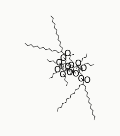 CCCCCCCCCCCCC(CCCCCCCCCCCC)C(=O)OCC1O[C@H](O[C@H]2OC(COC(=O)C(CCCCCCCCCCCC)CCCCCCCCCCCC)[C@@H](OCCCC)[C@H](OCCCC)C2OCCCC)C(OCCCC)[C@@H](OCCCC)[C@@H]1OCCCC